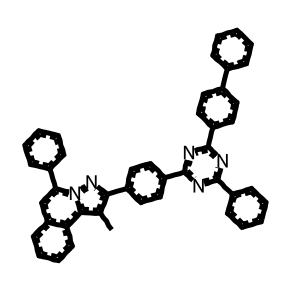 Cc1c(-c2ccc(-c3nc(-c4ccccc4)nc(-c4ccc(-c5ccccc5)cc4)n3)cc2)nn2c(-c3ccccc3)cc3ccccc3c12